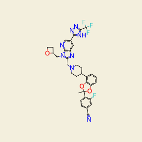 CC1(c2ccc(C#N)cc2F)Oc2cccc(C3CCN(Cc4nc5cc(-c6nnc(C(F)(F)F)[nH]6)cnc5n4C[C@@H]4CCO4)CC3)c2O1